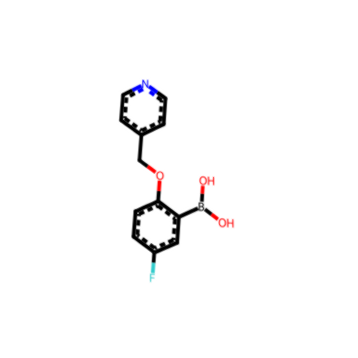 OB(O)c1cc(F)ccc1OCc1ccncc1